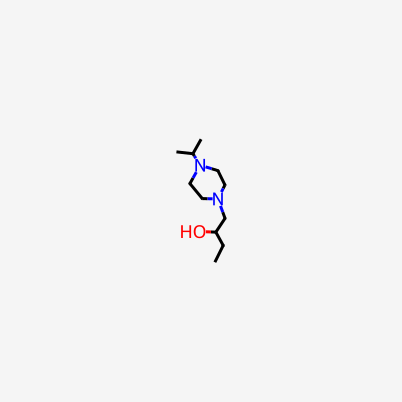 CCC(O)CN1CCN(C(C)C)CC1